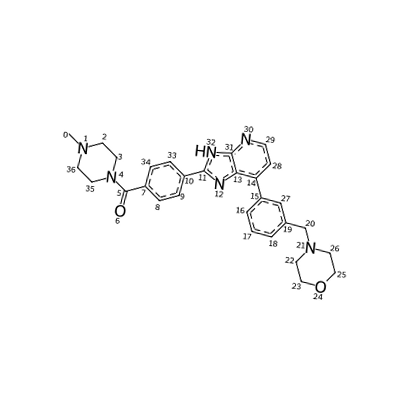 CN1CCN(C(=O)c2ccc(-c3nc4c(-c5cccc(CN6CCOCC6)c5)ccnc4[nH]3)cc2)CC1